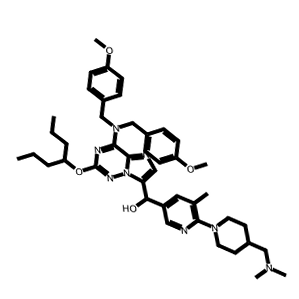 CCCC(CCC)Oc1nc(N(Cc2ccc(OC)cc2)Cc2ccc(OC)cc2)c2ncc(C(O)c3cnc(N4CCC(CN(C)C)CC4)c(C)c3)n2n1